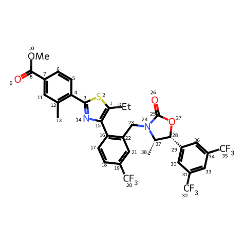 CCc1sc(-c2ccc(C(=O)OC)cc2C)nc1-c1ccc(C(F)(F)F)cc1CN1C(=O)O[C@H](c2cc(C(F)(F)F)cc(C(F)(F)F)c2)[C@@H]1C